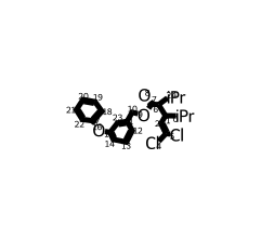 CC(C)C(C=C(Cl)Cl)C(C(=O)OCc1cccc(Oc2ccccc2)c1)C(C)C